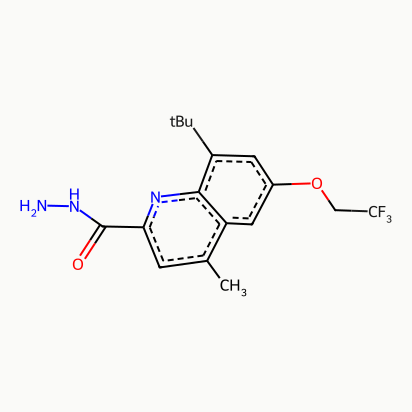 Cc1cc(C(=O)NN)nc2c(C(C)(C)C)cc(OCC(F)(F)F)cc12